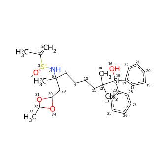 C=C(C)[S+]([O-])NC(C)(CCCCC(C)(C)[Si](O)(c1ccccc1)c1ccccc1)CC1OC(C)O1